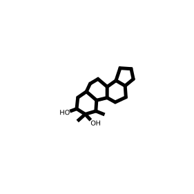 CC1C2C(CCC3C4CCCC4CCC32)CC(O)C1(C)O